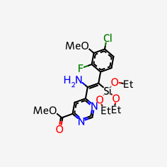 CCO[Si](OCC)(OCC)C(=C(N)c1cc(C(=O)OC)ncn1)c1ccc(Cl)c(OC)c1F